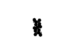 c1ccc(-c2c3c4cccc5c6ccc(N(c7ccccc7)c7ccc8oc9ccccc9c8c7)cc6n(c3c(-c3ccccc3)c3c6cccc7c8ccc(N(c9ccccc9)c9ccc%10oc%11ccccc%11c%10c9)cc8n(c23)c76)c54)cc1